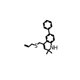 C=CCSCC1=CC(C)(C)Nc2ccc(-c3ccccc3)cc21